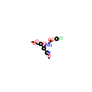 CCOC(=O)Cc1ccc(OC)c(-c2ccc(-c3ccc(OCC)nc3)cc2CNCCC(=O)COc2ccc(Cl)cc2)c1